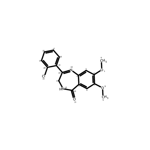 COc1cc2c(cc1OC)C(=O)NCC(c1ccccc1Cl)=N2